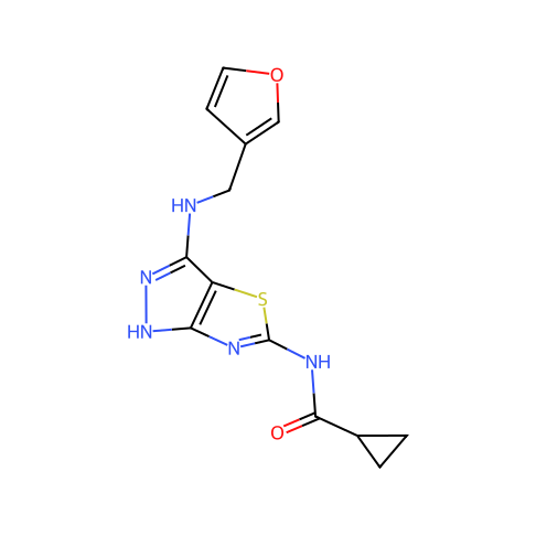 O=C(Nc1nc2[nH]nc(NCc3ccoc3)c2s1)C1CC1